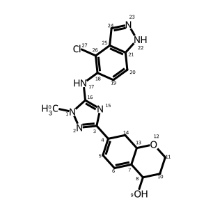 Cn1nc(C2=CC=C3C(O)CCOC3C2)nc1Nc1ccc2[nH]ncc2c1Cl